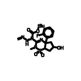 C=NNN(C(=O)OC(C)(C)C)C1=NC2(c3ccccc3F)CC(O)CC2S(=O)(=O)N1C